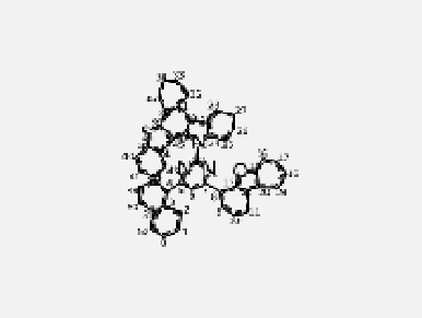 c1ccc2c(-c3cc(-c4cccc5c4oc4ccccc45)nc(-n4c5ccccc5c5c6ccccc6c6sc7ccccc7c6c54)n3)cccc2c1